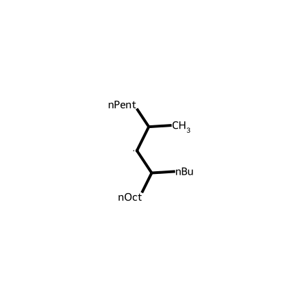 CCCCCCCCC([CH]C(C)CCCCC)CCCC